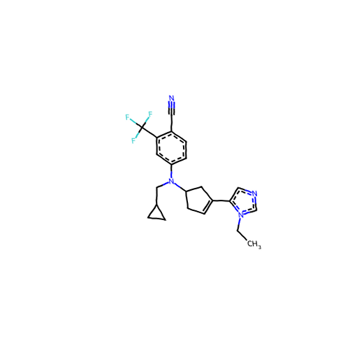 CCn1cncc1C1=CCC(N(CC2CC2)c2ccc(C#N)c(C(F)(F)F)c2)C1